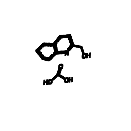 O=C(O)O.OCc1ccc2ccccc2n1